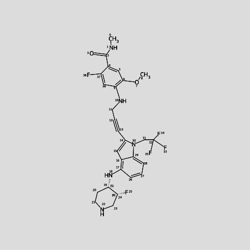 CNC(=O)c1cc(OC)c(NCC#Cc2cc3c(N[C@H]4CCNC[C@H]4F)cccc3n2CC(F)(F)F)cc1F